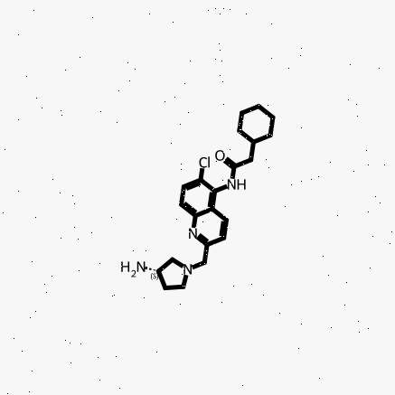 N[C@H]1CCN(Cc2ccc3c(NC(=O)CC4CCCCC4)c(Cl)ccc3n2)C1